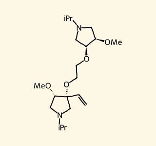 C=C[C@@]1(OCCO[C@H]2CN(C(C)C)C[C@H]2OC)CN(C(C)C)C[C@@H]1OC